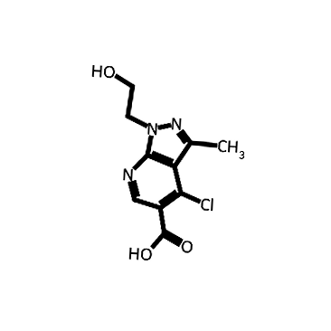 Cc1nn(CCO)c2ncc(C(=O)O)c(Cl)c12